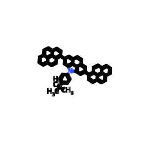 C[Si](C)(C)c1ccc(-n2c3cc(-c4ccc5ccc6cccc7ccc4c5c67)cc4ccc5cc(-c6ccc7ccc8cccc9ccc6c7c89)cc2c5c43)cc1